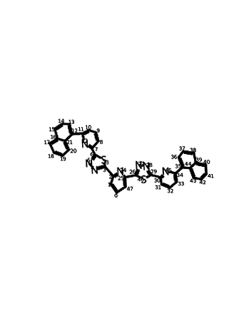 c1cc(-c2nnc(-c3cccc(-c4cccc5ccccc45)n3)s2)nc(-c2nnc(-c3cccc(-c4cccc5ccccc45)n3)s2)c1